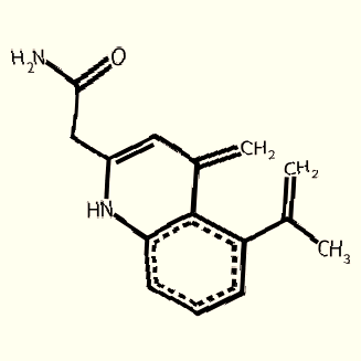 C=C(C)c1cccc2c1C(=C)C=C(CC(N)=O)N2